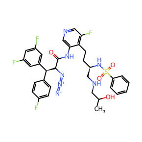 CC(O)CNC[C@@H](CCc1c(F)cncc1NC(=O)C(N=[N+]=[N-])[C@@H](c1ccc(F)cc1)c1cc(F)cc(F)c1)NS(=O)(=O)c1ccccc1